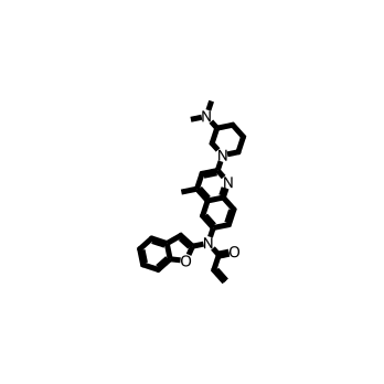 C=CC(=O)N(c1ccc2nc(N3CCCC(N(C)C)C3)cc(C)c2c1)c1cc2ccccc2o1